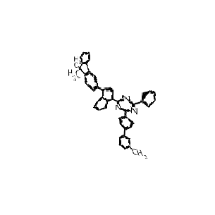 Cc1cccc(-c2ccc(-c3nc(-c4ccccc4)nc(-c4ccc(-c5ccc6c(c5)-c5ccccc5C6(C)C)c5ccccc45)n3)cc2)c1